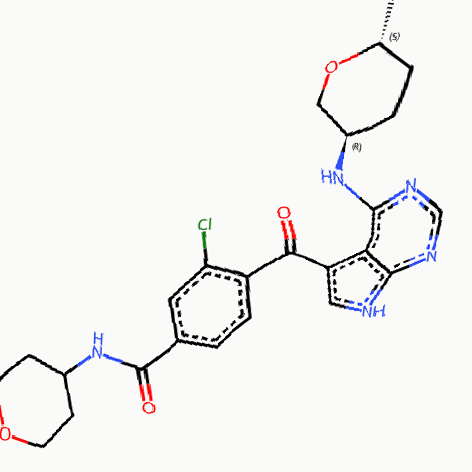 O=C(NC1CCOCC1)c1ccc(C(=O)c2c[nH]c3ncnc(N[C@@H]4CC[C@@H](CO)OC4)c23)c(Cl)c1